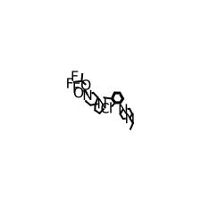 CCN1CCN(c2cccc(CN3CCCC34CCN(C(=O)OC(C)C(F)(F)F)CC4)c2Cl)CC1